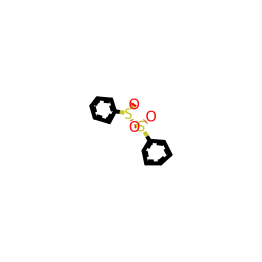 O=S(OS(=O)c1ccccc1)c1ccccc1